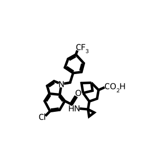 O=C(NC1(C2CC(C(=O)O)C3CC2C3)CC1)c1cc(Cl)cc2ccn(Cc3ccc(C(F)(F)F)cc3)c12